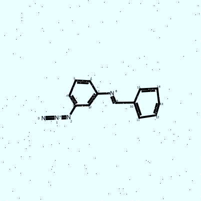 [N-]=[N+]=Nc1cccc(N=Cc2ccccc2)c1